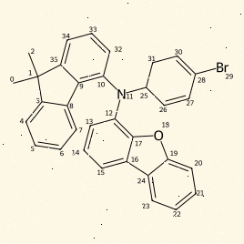 CC1(C)c2ccccc2-c2c(N(c3cccc4c3oc3ccccc34)C3C=CC(Br)=CC3)cccc21